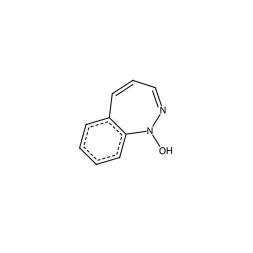 ON1N=CC=Cc2ccccc21